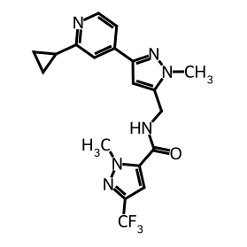 Cn1nc(-c2ccnc(C3CC3)c2)cc1CNC(=O)c1cc(C(F)(F)F)nn1C